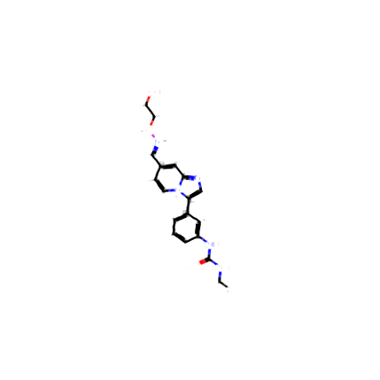 O=C(NCC(F)(F)F)Nc1cccc(-c2cnc3cc(C=NOCCO)ccn23)c1